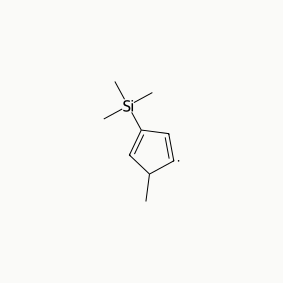 CC1[C]=CC([Si](C)(C)C)=C1